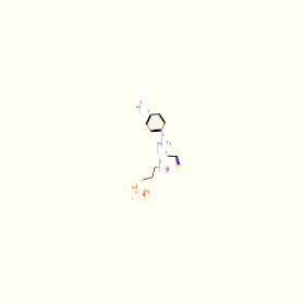 CN(C)c1ccc(/N=N/c2cco[n+]2CCCS(=O)(=O)[O-])cc1